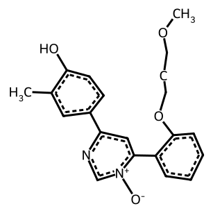 COCCCOc1ccccc1-c1cc(-c2ccc(O)c(C)c2)nc[n+]1[O-]